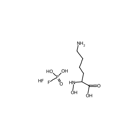 F.NCCCCC(NO)C(=O)O.O=P(O)(O)F